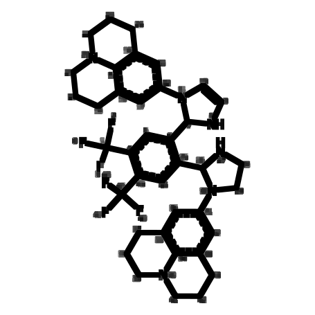 FC(F)(F)c1cc(C2NC=CN2c2cc3c4c(c2)CCCN4CCC3)c(C2NCCN2c2cc3c4c(c2)CCCN4CCC3)cc1C(F)(F)F